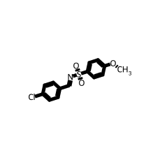 COc1ccc(S(=O)(=O)/N=C/c2ccc(Cl)cc2)cc1